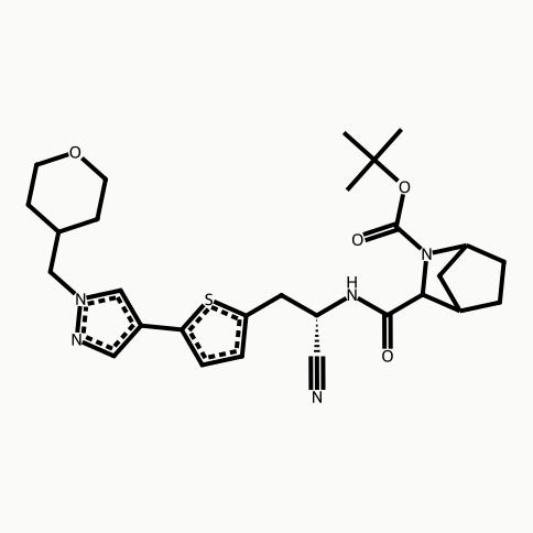 CC(C)(C)OC(=O)N1C2CCC(C2)C1C(=O)N[C@H](C#N)Cc1ccc(-c2cnn(CC3CCOCC3)c2)s1